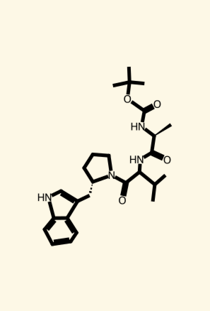 CC(C)C(NC(=O)[C@H](C)NC(=O)OC(C)(C)C)C(=O)N1CCC[C@H]1Cc1c[nH]c2ccccc12